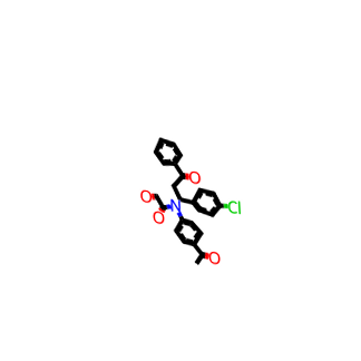 CC(=O)c1ccc(N(C(=O)C=O)C(CC(=O)c2ccccc2)c2ccc(Cl)cc2)cc1